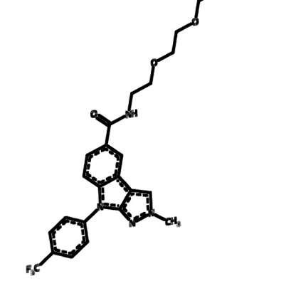 Cn1cc2c3cc(C(=O)NCCOCCOCC=O)ccc3n(-c3ccc(C(F)(F)F)cc3)c2n1